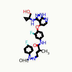 C/C(=C\C=N/N(C=O)c1ccc(F)cc1)C(=O)Nc1ccc(Oc2ccnc3[nH]nc(NC4(CO)CC4)c23)c(F)c1